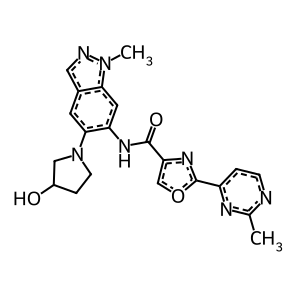 Cc1nccc(-c2nc(C(=O)Nc3cc4c(cnn4C)cc3N3CCC(O)C3)co2)n1